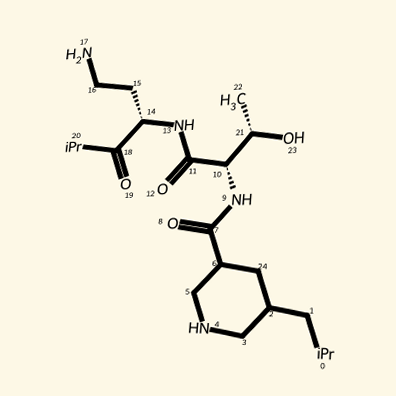 CC(C)CC1CNCC(C(=O)N[C@H](C(=O)N[C@@H](CCN)C(=O)C(C)C)[C@H](C)O)C1